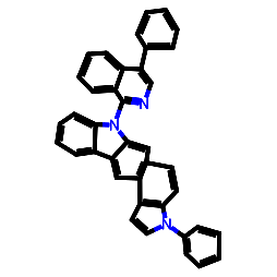 c1ccc(-c2cnc(-n3c4ccccc4c4cc5c(ccc6c5ccn6-c5ccccc5)cc43)c3ccccc23)cc1